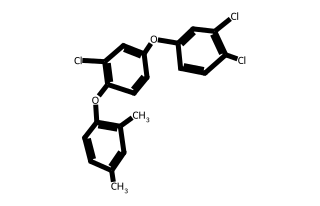 Cc1ccc(Oc2ccc(Oc3ccc(Cl)c(Cl)c3)cc2Cl)c(C)c1